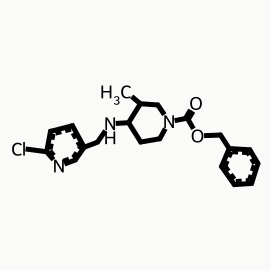 CC1CN(C(=O)OCc2ccccc2)CCC1NCc1ccc(Cl)nc1